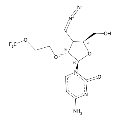 [N-]=[N+]=NC1[C@@H](OCCOC(F)(F)F)[C@H](n2ccc(N)nc2=O)O[C@@H]1CO